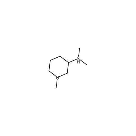 CN1CCCC([SH](C)C)C1